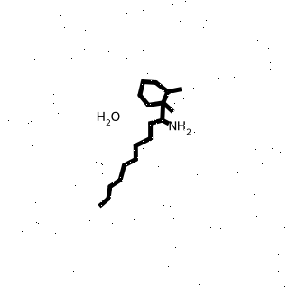 CCCCCCCCCC(N)C1(C)CCCCC1C.O